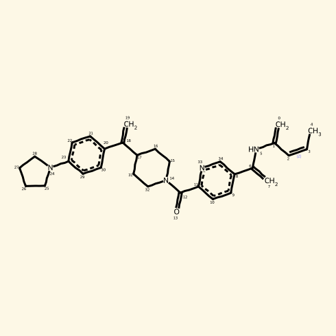 C=C(/C=C\C)NC(=C)c1ccc(C(=O)N2CCC(C(=C)c3ccc(N4CCCC4)cc3)CC2)nc1